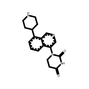 O=C1CCN(c2cncc3c(C4CCNCC4)cccc23)C(=O)N1